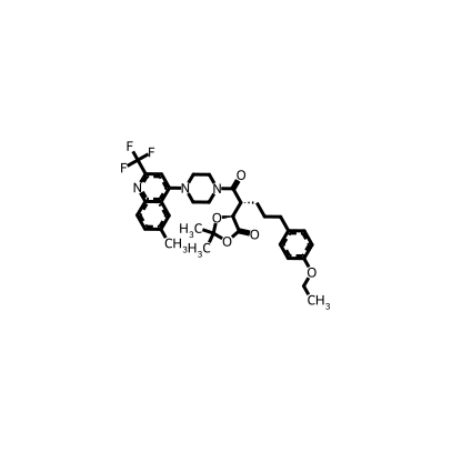 CCOc1ccc(CCC[C@@H](C(=O)N2CCN(c3cc(C(F)(F)F)nc4ccc(C)cc34)CC2)[C@@H]2OC(C)(C)OC2=O)cc1